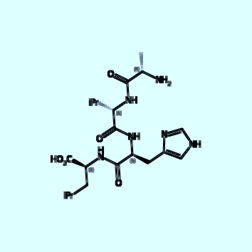 CC(C)C[C@H](NC(=O)[C@H](Cc1c[nH]cn1)NC(=O)[C@@H](NC(=O)[C@H](C)N)C(C)C)C(=O)O